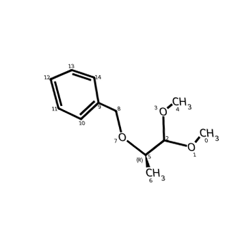 COC(OC)[C@@H](C)OCc1ccccc1